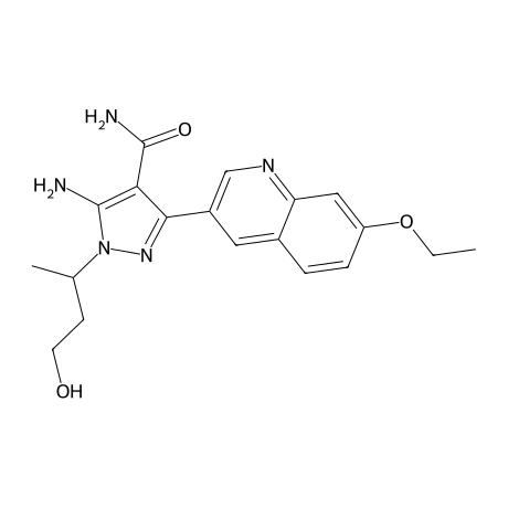 CCOc1ccc2cc(-c3nn(C(C)CCO)c(N)c3C(N)=O)cnc2c1